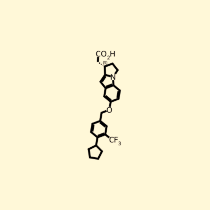 O=C(O)C[C@@H]1CCn2c1cc1cc(OCc3ccc(C4CCCC4)c(C(F)(F)F)c3)ccc12